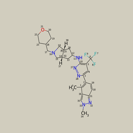 Cc1c(-c2cc(C(F)(F)F)c(NC3C[C@@H]4CN(CC5CCOCC5)C[C@@H]4C3)nn2)ccc2nn(C)cc12